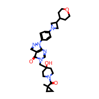 CC1(C(=O)N2CCC(O)(Cn3cnc4c(cnn4-c4ccc(N5CC(C6CCOCC6)C5)cc4)c3=O)CC2)CC1